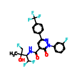 CC(O)(CF)[C@@H](NC(=O)c1cc(-c2ccc(C(F)(F)F)cc2)nn(-c2cccc(F)c2)c1=O)C(F)F